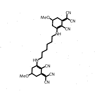 COC1CC(NCCCCCCNC2=C(C#N)C(=C(C#N)C#N)CC(OC)C2)=C(C#N)C(=C(C#N)C#N)C1